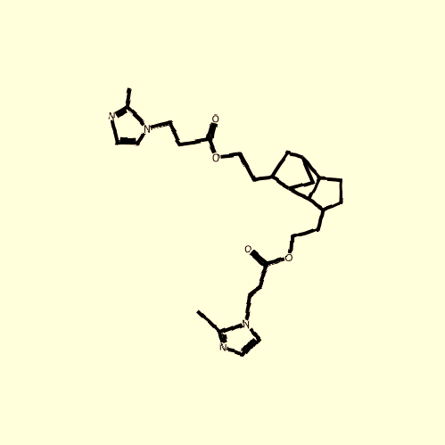 Cc1nccn1CCC(=O)OCCC1CC2CC1C1C(CCOC(=O)CCn3ccnc3C)CCC21